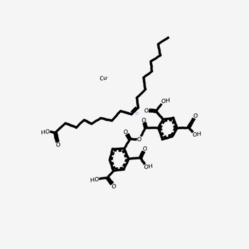 CCCCCCCC/C=C\CCCCCCCC(=O)O.O=C(O)c1ccc(C(=O)OC(=O)c2ccc(C(=O)O)cc2C(=O)O)c(C(=O)O)c1.[Cu]